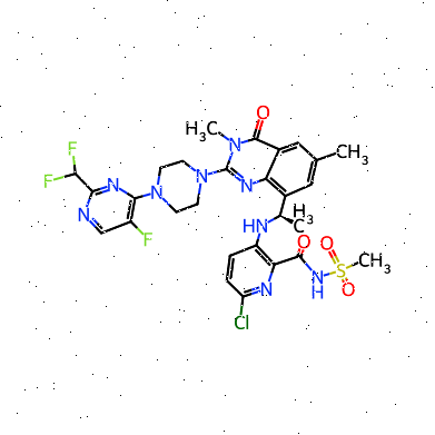 Cc1cc([C@@H](C)Nc2ccc(Cl)nc2C(=O)NS(C)(=O)=O)c2nc(N3CCN(c4nc(C(F)F)ncc4F)CC3)n(C)c(=O)c2c1